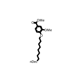 CCCCCCCCCCCCCCCCCCOc1ccc(C(=O)OC)cc1OC